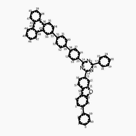 c1ccc(-c2ccc3c(c2)oc2cc(-c4nc(-c5ccccc5)nc(-c5ccc(-c6ccc(-c7ccc8c9ccccc9c9ccccc9c8c7)cc6)cc5)n4)ccc23)cc1